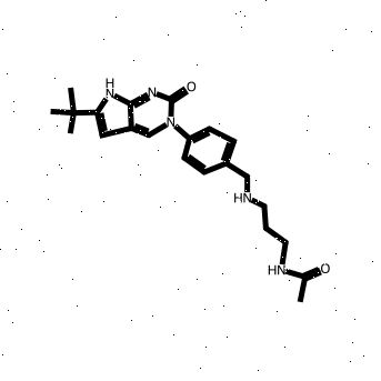 CC(=O)NCCCNCc1ccc(-n2cc3cc(C(C)(C)C)[nH]c3nc2=O)cc1